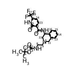 CC(C)(C)OC(=O)NCCN1Cc2ccccc2C(NC(=O)c2ccc(C(F)(F)F)[nH]c2=O)C1